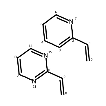 C=Cc1ccccn1.C=Cc1ncccn1